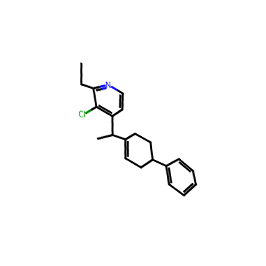 CCc1nccc(C(C)C2=CCC(c3ccccc3)CC2)c1Cl